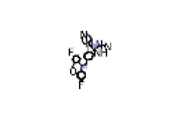 CN1CCN(n2/c(=N/C#N)[nH]c3cc(/C=C4\c5ccc(F)cc5COc5cc(F)ccc54)ccc32)CC1